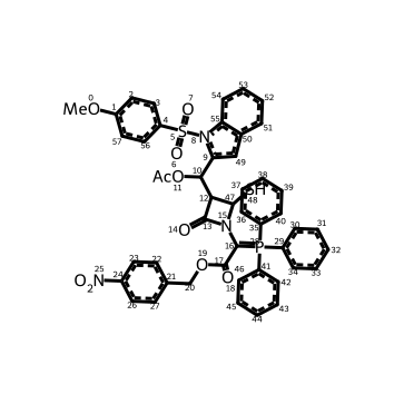 COc1ccc(S(=O)(=O)n2c(C(OC(C)=O)C3C(=O)N(C(C(=O)OCc4ccc([N+](=O)[O-])cc4)=P(c4ccccc4)(c4ccccc4)c4ccccc4)C3S)cc3ccccc32)cc1